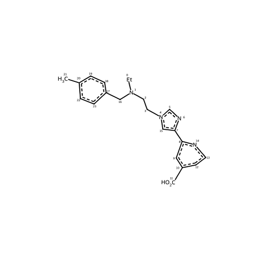 CCN(CCn1cnc(-c2cc(C(=O)O)ccn2)c1)Cc1ccc(C)cc1